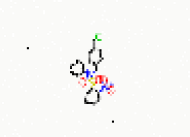 O=[N+]([O-])c1ccccc1S(=O)(=O)N(Cc1ccc(CCl)cc1)c1ccccc1